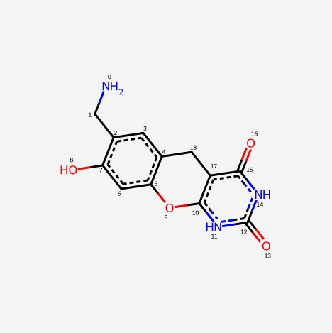 NCc1cc2c(cc1O)Oc1[nH]c(=O)[nH]c(=O)c1C2